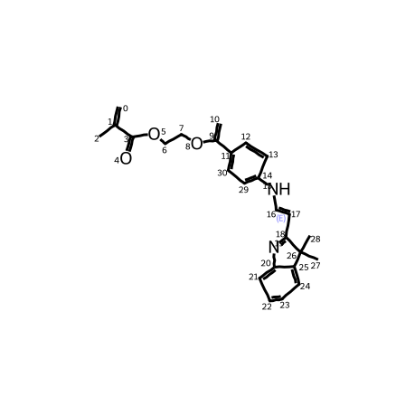 C=C(C)C(=O)OCCOC(=C)c1ccc(N/C=C/C2=Nc3ccccc3C2(C)C)cc1